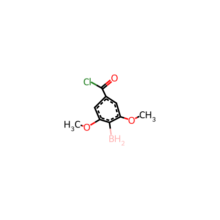 Bc1c(OC)cc(C(=O)Cl)cc1OC